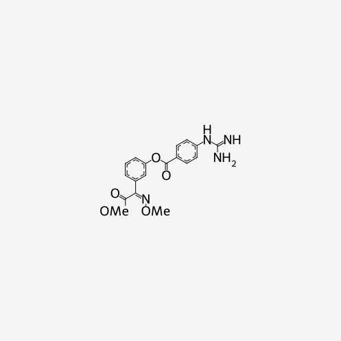 CON=C(C(=O)OC)c1cccc(OC(=O)c2ccc(NC(=N)N)cc2)c1